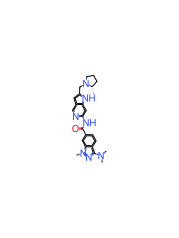 C[C@H]1CCCN1Cc1cc2cnc(NC(=O)c3ccc4c(N(C)C)nn(C)c4c3)cc2[nH]1